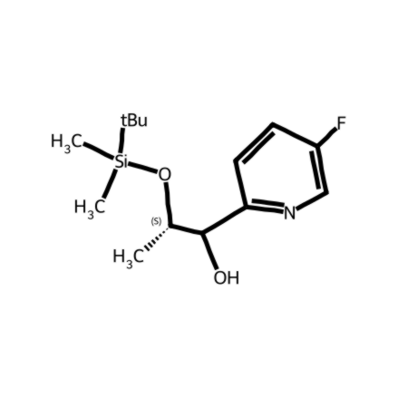 C[C@H](O[Si](C)(C)C(C)(C)C)C(O)c1ccc(F)cn1